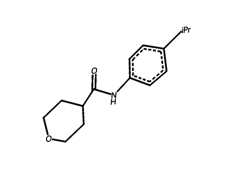 CC(C)c1ccc(NC(=O)C2CCOCC2)cc1